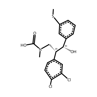 CSc1cccc([C@H](O)[C@@H](CN(C)C(=O)O)c2ccc(Cl)c(Cl)c2)c1